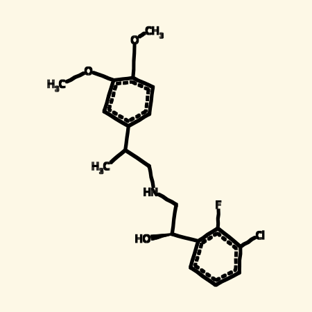 COc1ccc(C(C)CNC[C@H](O)c2cccc(Cl)c2F)cc1OC